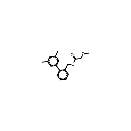 COCC(=O)OCc1ccccc1-c1cc(C)cc(C)c1